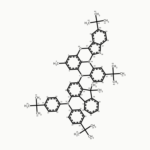 Cc1cc2c3c(c1)N(c1ccc(N(c4ccc(C(C)(C)C)cc4)c4ccc(C(C)(C)C)cc4)c4c1C(C)(C)c1ccccc1-4)c1ccc(C(C)(C)C)cc1B3c1sc3ccc(C(C)(C)C)cc3c1O2